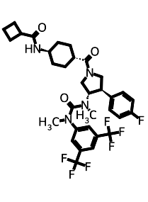 CN(C(=O)N(C)[C@@H]1CN(C(=O)[C@H]2CC[C@H](NC(=O)C3CCC3)CC2)C[C@H]1c1ccc(F)cc1)c1cc(C(F)(F)F)cc(C(F)(F)F)c1